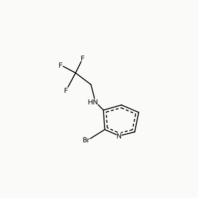 FC(F)(F)CNc1cccnc1Br